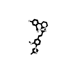 COc1cc(C=Cc2nc3n(n2)CCCC3c2ccc(F)cc2C#N)ccc1-n1cnc(C)c1